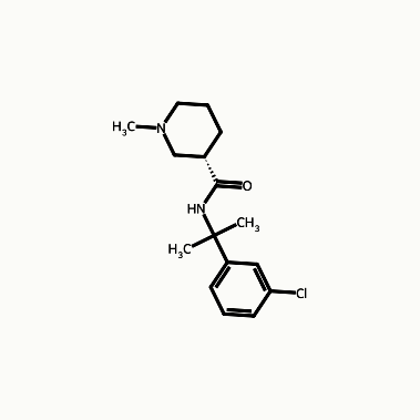 CN1CCC[C@H](C(=O)NC(C)(C)c2cccc(Cl)c2)C1